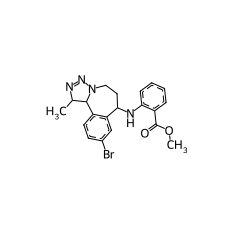 COC(=O)c1ccccc1NC1CCN2N=NC(C)C2c2ccc(Br)cc21